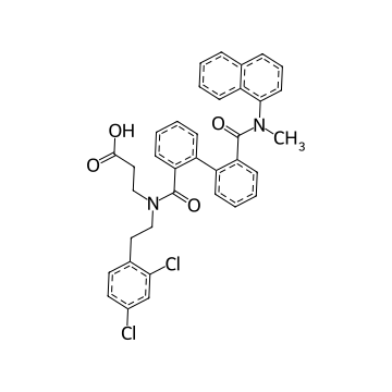 CN(C(=O)c1ccccc1-c1ccccc1C(=O)N(CCC(=O)O)CCc1ccc(Cl)cc1Cl)c1cccc2ccccc12